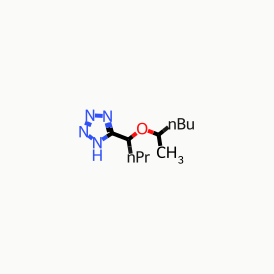 [CH2]CCCC(C)OC(CCC)c1nnn[nH]1